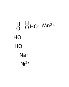 [Mn+2].[Na+].[Ni+2].[OH-].[OH-].[OH-].[OH-].[OH-]